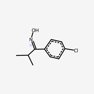 CC(C)/C(=N/O)c1ccc(Cl)cc1